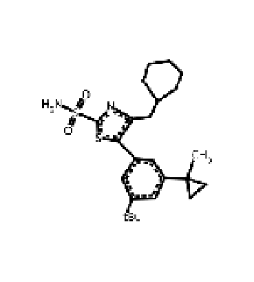 CC(C)(C)c1cc(-c2sc(S(N)(=O)=O)nc2CC2CCCCC2)cc(C2(C)CC2)c1